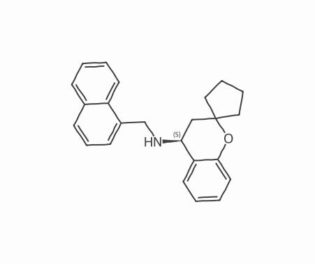 c1ccc2c(c1)OC1(CCCC1)C[C@@H]2NCc1cccc2ccccc12